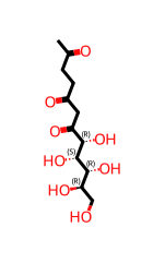 CC(=O)CCC(=O)CC(=O)[C@H](O)[C@@H](O)[C@H](O)[C@H](O)CO